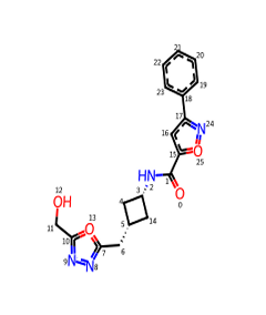 O=C(N[C@H]1C[C@@H](Cc2nnc(CO)o2)C1)c1cc(-c2ccccc2)no1